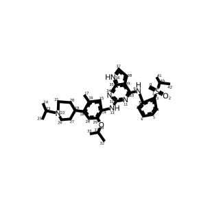 C=S(=O)(c1ccccc1Nc1nc(Nc2cc(C)c(C3CCN(C(C)C)CC3)cc2OC(C)C)nc2[nH]ccc12)C(C)C